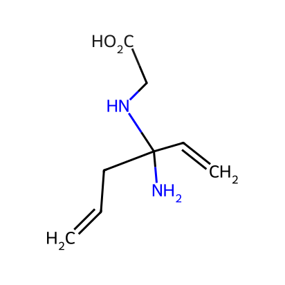 C=CCC(N)(C=C)NCC(=O)O